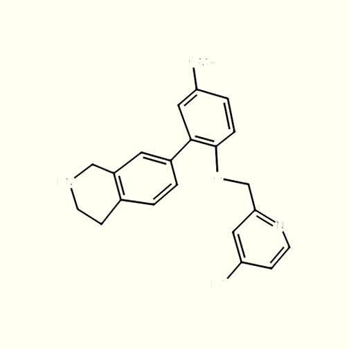 COc1ccc(OCc2cc(C)ccn2)c(-c2ccc3c(c2)CNCC3)c1